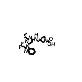 CSc1nc(NC[C@H]2CCN(C(=O)O)C2)cc(-n2c(C(F)F)nc3ccccc32)n1